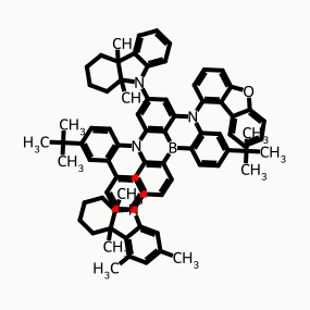 Cc1cc(C)c2c(c1)N(c1ccc3c(c1)N(c1ccc(C(C)(C)C)cc1-c1ccccc1)c1cc(N4c5ccccc5C5(C)CCCCC45C)cc4c1B3c1ccc(C(C)(C)C)cc1N4c1cccc3oc4ccccc4c13)C1(C)CCCCC21C